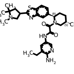 CCc1cc(NC(=O)C(=O)N2C[C@@H](C)CC[C@@H]2c2ccc3sc(C4CN(C)C(C)(C)C4)nc3c2)cnc1N